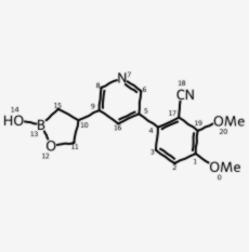 COc1ccc(-c2cncc(C3COB(O)C3)c2)c(C#N)c1OC